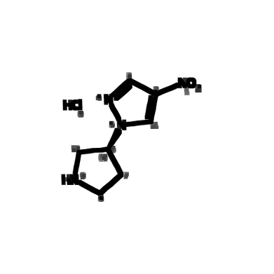 Cl.O=[N+]([O-])c1cnn([C@H]2CCNC2)c1